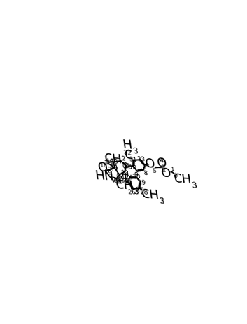 CCOC(=O)COc1ccc([C@@H]2CC[C@@]3(CC)C(=O)N[C@H](C)[C@H]3[C@H]2c2ccc(C)cc2)c(C)c1